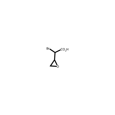 O=C(O)C(Br)C1CO1